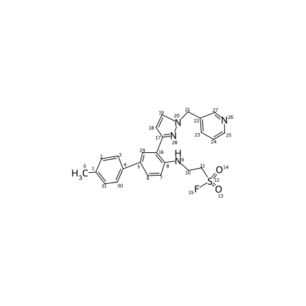 Cc1ccc(-c2ccc(NCCS(=O)(=O)F)c(-c3ccn(Cc4cccnc4)n3)c2)cc1